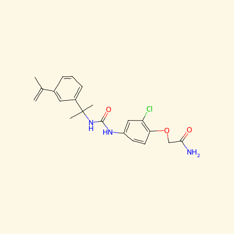 C=C(C)c1cccc(C(C)(C)NC(=O)Nc2ccc(OCC(N)=O)c(Cl)c2)c1